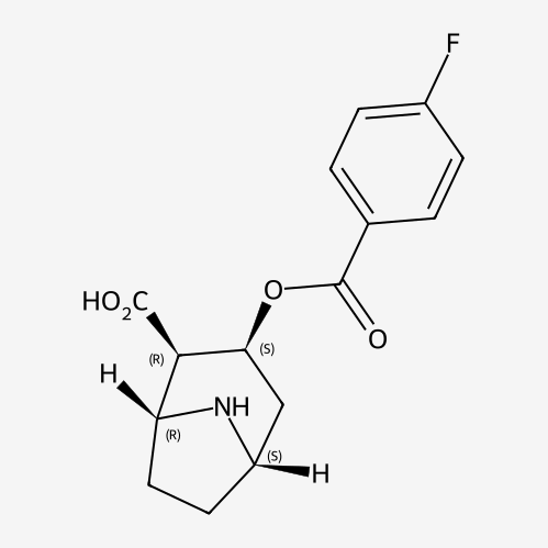 O=C(O[C@H]1C[C@@H]2CC[C@@H](N2)[C@H]1C(=O)O)c1ccc(F)cc1